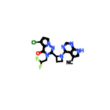 N#Cc1c[nH]c2ncnc(N3CCC3c3nn4ccc(Cl)c4c(=O)n3CC(F)F)c12